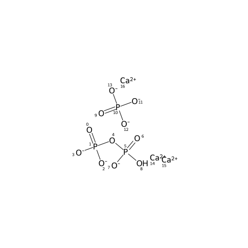 O=P([O-])([O-])OP(=O)([O-])O.O=P([O-])([O-])[O-].[Ca+2].[Ca+2].[Ca+2]